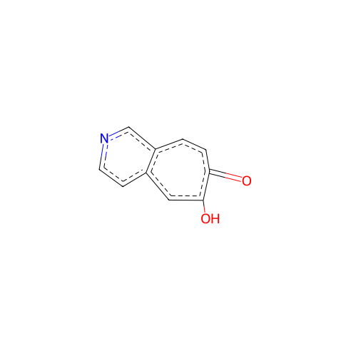 O=c1ccc2cnccc2cc1O